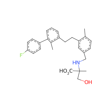 Cc1ccc(CNC(C)(CO)C(=O)O)cc1CCc1cccc(-c2ccc(F)cc2)c1C